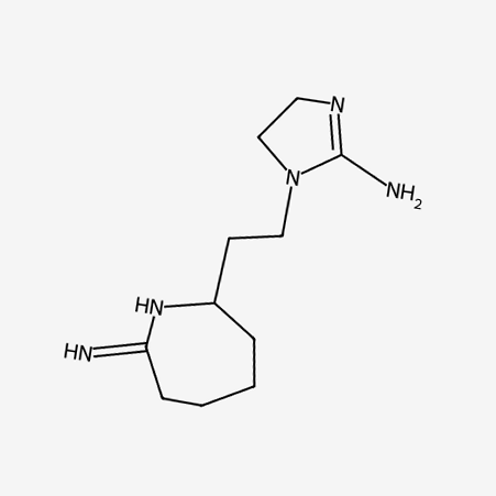 N=C1CCCCC(CCN2CCN=C2N)N1